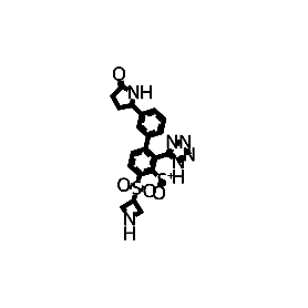 O=[S+]c1c(S(=O)(=O)C2CNC2)ccc(-c2cccc(C3CCC(=O)N3)c2)c1-c1nnn[nH]1